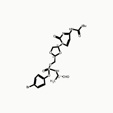 C[C@@H](C=O)NP(=O)(OC[C@H]1OC[C@@H](n2ccc(NC(=O)C(C)(C)C)nc2=O)O1)Oc1ccc(Br)cc1